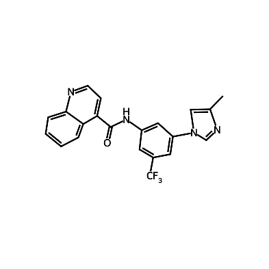 Cc1cn(-c2cc(NC(=O)c3ccnc4ccccc34)cc(C(F)(F)F)c2)cn1